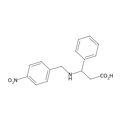 O=C(O)CC(NCc1ccc([N+](=O)[O-])cc1)c1ccccc1